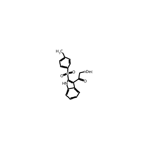 CCCCCCCCCCCC(=O)c1c(S(=O)(=O)c2ccc(C)cc2)[nH]c2ccccc12